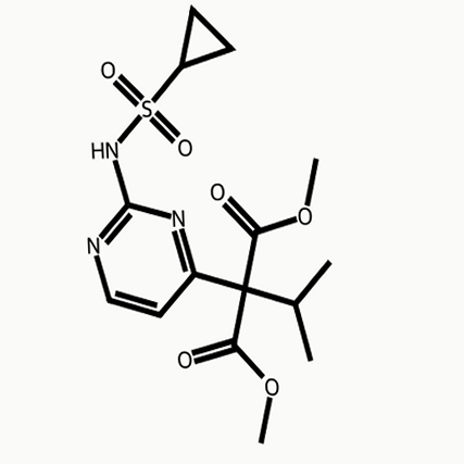 COC(=O)C(C(=O)OC)(c1ccnc(NS(=O)(=O)C2CC2)n1)C(C)C